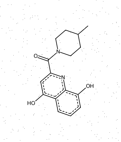 CC1CCN(C(=O)c2cc(O)c3cccc(O)c3n2)CC1